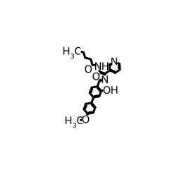 CCCCC(=O)Nc1oc(-c2ccc(-c3ccc(OC)cc3)cc2O)nc1-c1cccnc1